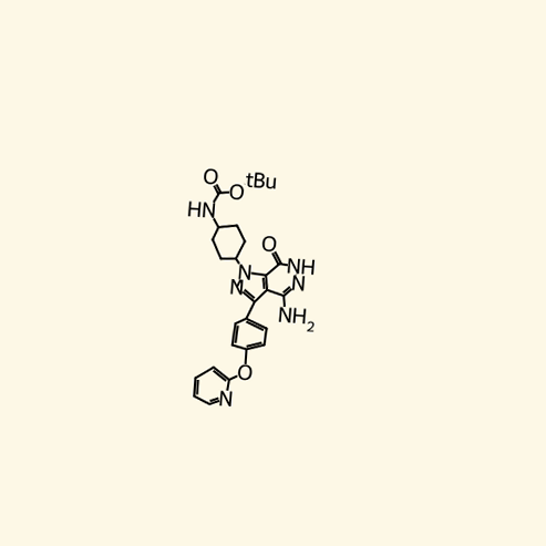 CC(C)(C)OC(=O)NC1CCC(n2nc(-c3ccc(Oc4ccccn4)cc3)c3c(N)n[nH]c(=O)c32)CC1